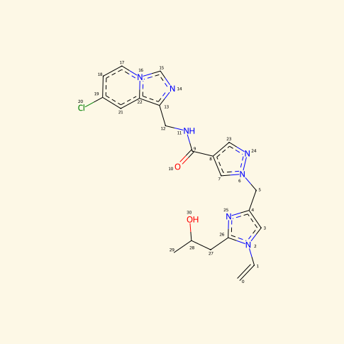 C=Cn1cc(Cn2cc(C(=O)NCc3ncn4ccc(Cl)cc34)cn2)nc1CC(C)O